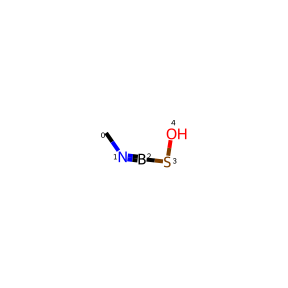 CN=BSO